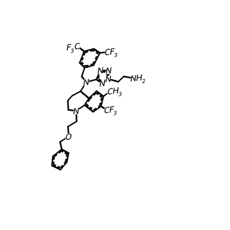 Cc1cc2c(cc1C(F)(F)F)N(CCOCc1ccccc1)CCCC2N(Cc1cc(C(F)(F)F)cc(C(F)(F)F)c1)c1nnn(CCN)n1